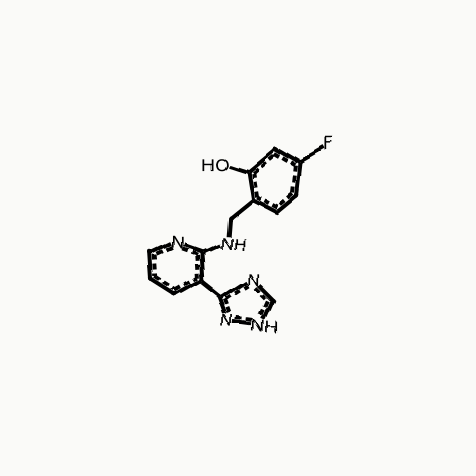 Oc1cc(F)ccc1CNc1ncccc1-c1nc[nH]n1